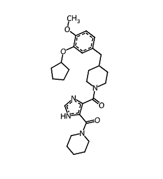 COc1ccc(CC2CCN(C(=O)c3nc[nH]c3C(=O)N3CCCCC3)CC2)cc1OC1CCCC1